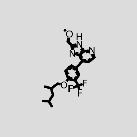 COCc1nc2c(-c3ccc(OCC(C)CC(C)C)c(C(F)(F)F)c3)ccnc2[nH]1